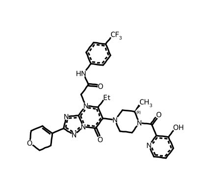 CCc1c(N2CCN(C(=O)c3ncccc3O)[C@H](C)C2)c(=O)n2nc(C3=CCOCC3)nc2n1CC(=O)Nc1ccc(C(F)(F)F)cc1